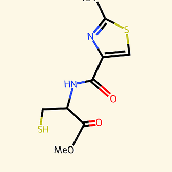 CCCc1nc(C(=O)NC(CS)C(=O)OC)cs1